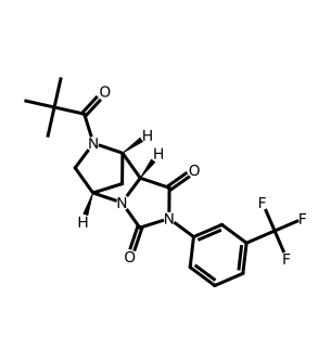 CC(C)(C)C(=O)N1C[C@@H]2C[C@H]1[C@@H]1C(=O)N(c3cccc(C(F)(F)F)c3)C(=O)N21